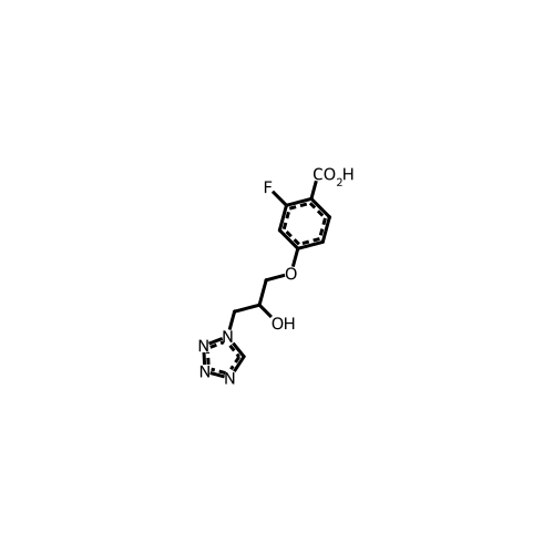 O=C(O)c1ccc(OCC(O)Cn2cnnn2)cc1F